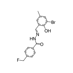 Cc1cc(Br)c(O)c(/C=N/NC(=O)c2ccc(CF)cc2)c1